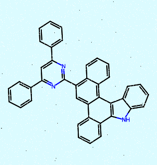 c1ccc(-c2cc(-c3ccccc3)nc(-c3cc4c5ccccc5c5[nH]c6ccccc6c5c4c4ccccc34)n2)cc1